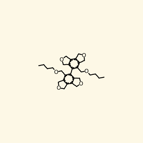 CCCCOCc1c2c(c3c(c1-c1c(COCCCC)c4c(c5c1COC5)COC4)COC3)COC2